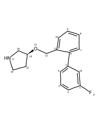 Fc1cccc(-c2ccccc2CO[C@H]2CCNC2)c1